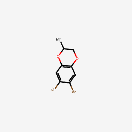 N#CC1COc2cc(Br)c(Br)cc2O1